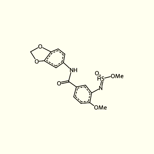 COc1ccc(C(=O)Nc2ccc3c(c2)OCO3)cc1N=[SH](=O)OC